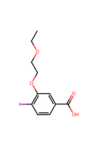 CCOCCOc1cc(C(=O)O)ccc1I